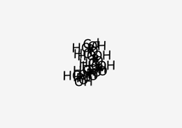 O=P(O)(O)O.O=P(O)(O)O.O=P(O)(O)O.O=P(O)(O)O.O=P(O)(O)O.[Gd]